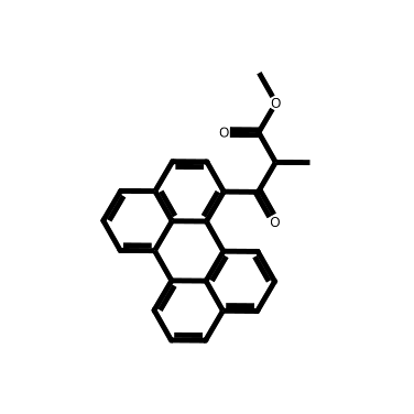 COC(=O)C(C)C(=O)c1ccc2cccc3c4cccc5cccc(c1c23)c54